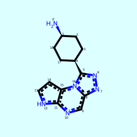 N[C@H]1CC[C@@H](c2nnc3cnc4[nH]ccc4n32)CC1